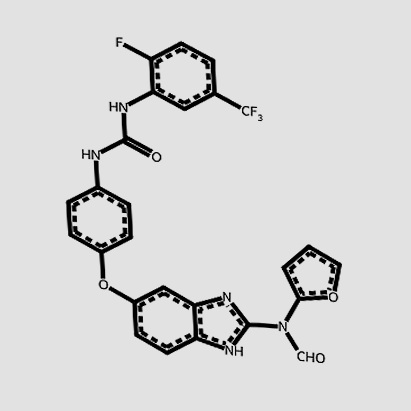 O=CN(c1nc2cc(Oc3ccc(NC(=O)Nc4cc(C(F)(F)F)ccc4F)cc3)ccc2[nH]1)c1ccco1